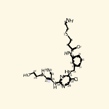 N=CCSCCC(=O)Nc1cccc(CNc2nc(N/C(C=N)=C/NCCO)ncc2Cl)c1